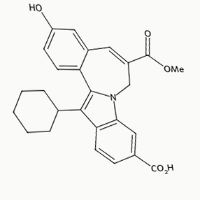 COC(=O)C1=Cc2cc(O)ccc2-c2c(C3CCCCC3)c3ccc(C(=O)O)cc3n2C1